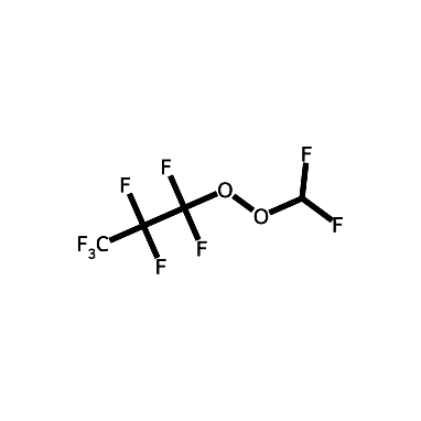 FC(F)OOC(F)(F)C(F)(F)C(F)(F)F